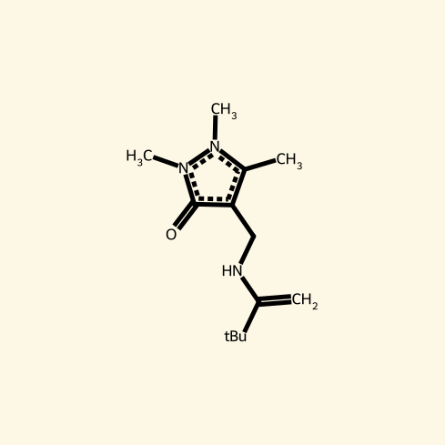 C=C(NCc1c(C)n(C)n(C)c1=O)C(C)(C)C